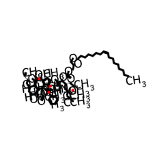 C=C[C@H]1O[C@H]2C[C@H]3OC[C@@]3(OC(C)=O)[C@H]3[C@H](OC(=O)c4ccccc4)[C@]4(C(C)(C)O)C[C@H](OC(=O)[C@H](OC(=O)OCC5COC(CCCCCC/C=C\CCCCCCCCC)O5)[C@H](CC(C)C)NC(=O)OC(C)(C)C)C(C)=C4[C@H](O)[C@H](O1)[C@]23C